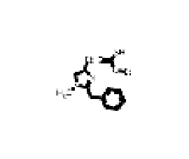 CCC1CN(C)C(Cc2ccccc2)=N1.CCOC(=S)S